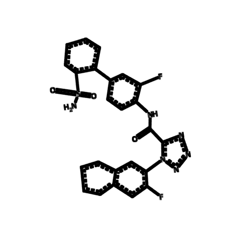 NS(=O)(=O)c1ccccc1-c1ccc(NC(=O)c2nnnn2-c2cc3ccccc3cc2F)c(F)c1